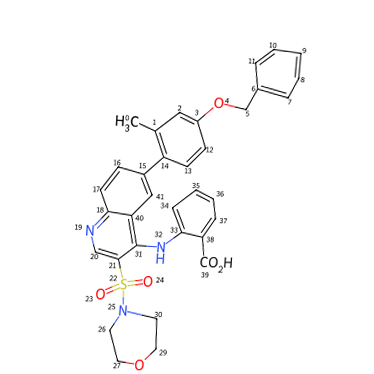 Cc1cc(OCc2ccccc2)ccc1-c1ccc2ncc(S(=O)(=O)N3CCOCC3)c(Nc3ccccc3C(=O)O)c2c1